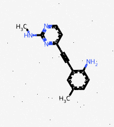 CNc1nccc(C#Cc2cc(C)ccc2N)n1